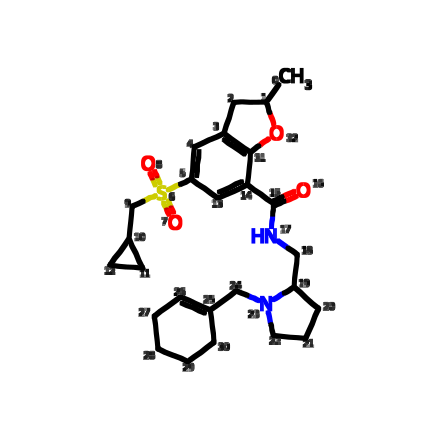 CC1Cc2cc(S(=O)(=O)CC3CC3)cc(C(=O)NCC3CCCN3CC3=CCCCC3)c2O1